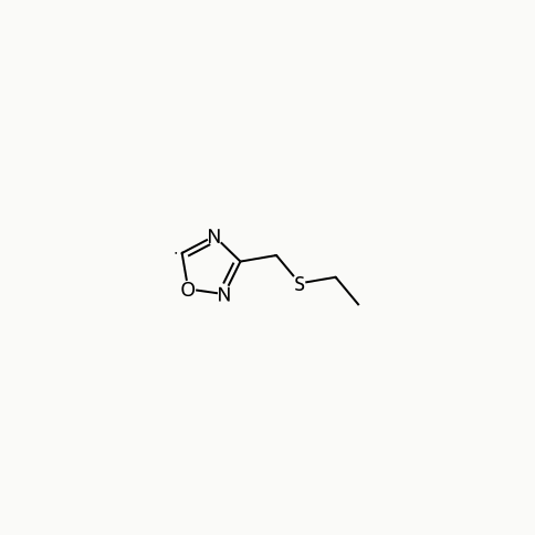 CCSCc1n[c]on1